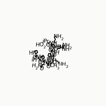 CC(C)[C@H](NC(=O)[C@H](CCCCN)NC(=O)[C@H](CCCNC(=N)N)NC(=O)[C@@H]1CCCN1C(=O)[C@H](CCCCN)NC(=O)[C@H](C)NC(=O)[C@H](CCC(N)=O)NC(=O)[C@@H]1CCCN1C(=O)[C@@H](NC(=O)[C@@H]1CCCN1)C(C)C)C(=O)O